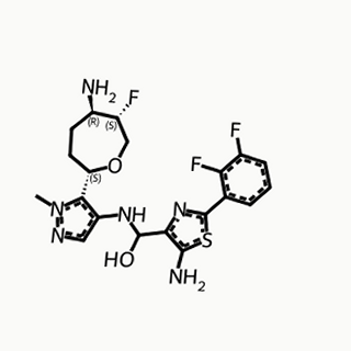 Cn1ncc(NC(O)c2nc(-c3cccc(F)c3F)sc2N)c1[C@@H]1CC[C@@H](N)[C@H](F)CO1